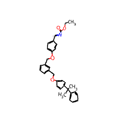 CCOC(=O)/N=[C]/c1ccc(OCc2cccc(COc3ccc(C(C)(C)c4ccccc4)cc3)c2)cc1